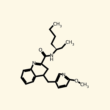 CCCC[C@@H](CC)NC(=O)C1=Nc2ccccc2C(Cc2ccc(OC)nc2)C1